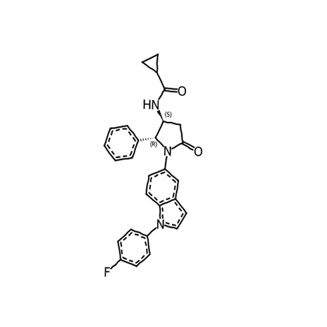 O=C(N[C@H]1CC(=O)N(c2ccc3c(ccn3-c3ccc(F)cc3)c2)[C@@H]1c1ccccc1)C1CC1